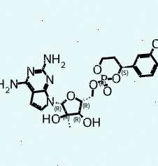 C[C@@]1(O)[C@H](O)[C@@H](CO[P@@]2(=O)OCC[C@@H](c3cccc(Cl)c3)O2)O[C@H]1n1ccc2c(N)nc(N)nc21